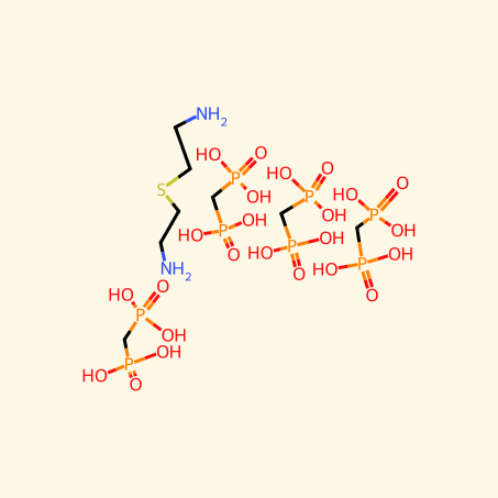 NCCSCCN.O=P(O)(O)CP(=O)(O)O.O=P(O)(O)CP(=O)(O)O.O=P(O)(O)CP(=O)(O)O.O=P(O)(O)CP(=O)(O)O